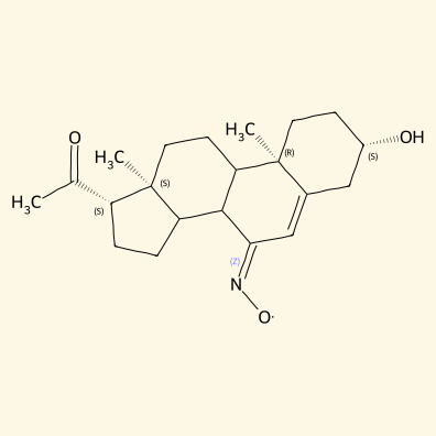 CC(=O)[C@H]1CCC2C3/C(=N/[O])C=C4C[C@@H](O)CC[C@]4(C)C3CC[C@@]21C